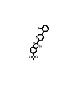 CS(=O)(=O)c1ccc2nc(-c3ccc(-c4ccccc4F)cn3)[nH]c2c1